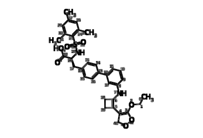 CCOC1=C(C2=C(Nc3cccc(-c4ccc(C[C@H](NS(=O)(=O)c5c(C)cc(C)cc5C)C(=O)O)cc4)c3)CC2)COO1